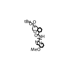 COc1cccn2c(C(C)(C)NC(=O)c3cccc4c3OCCN(C(=O)OC(C)(C)C)C4)ncc12